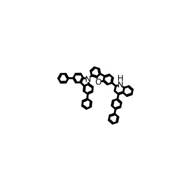 C1=CC2=C(c3ccc(-c4ccccc4)cc3)CC(c3ccc4c(c3)oc3c(-n5c6ccc(-c7ccccc7)cc6c6cc(-c7ccccc7)ccc65)cccc34)NC2C=C1